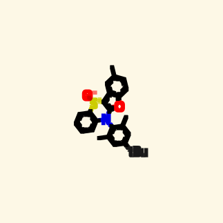 Cc1ccc2oc3c(c2c1)[S+]([O-])c1ccccc1N3c1c(C)cc(C(C)(C)C)cc1C